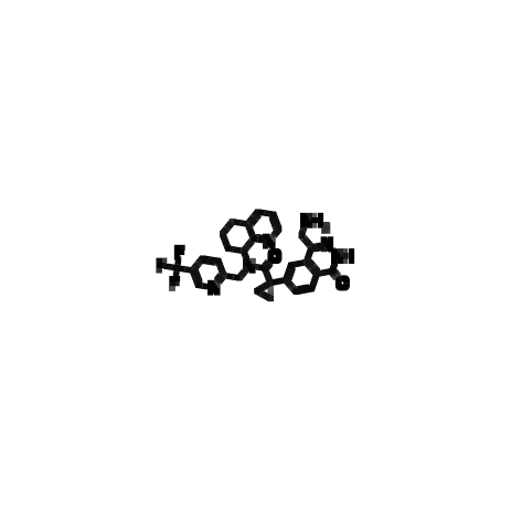 NCc1n[nH]c(=O)c2ccc(C3(C(=O)N(Cc4ccc(C(F)(F)F)cn4)C4CCCc5cccnc54)CC3)cc12